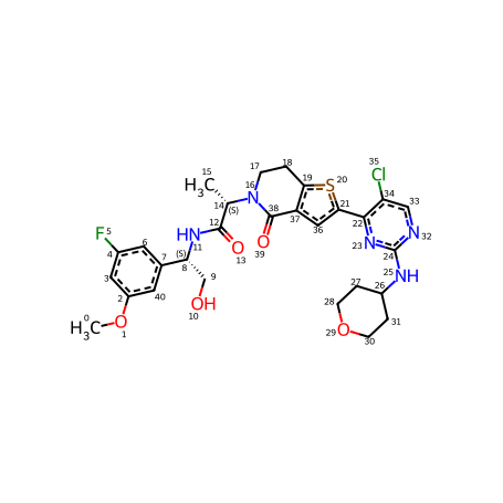 COc1cc(F)cc([C@@H](CO)NC(=O)[C@H](C)N2CCc3sc(-c4nc(NC5CCOCC5)ncc4Cl)cc3C2=O)c1